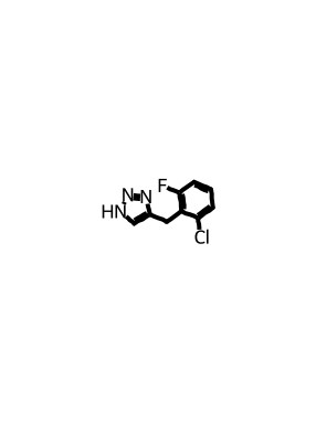 Fc1cccc(Cl)c1Cc1c[nH]nn1